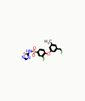 Cc1cc(CF)cc(Oc2ccc(S(=O)(=O)Nc3ncns3)cc2F)c1